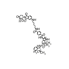 CN(C)C[C@@H](NC(=O)N1Cc2c(NC(=O)c3ccc(C(=O)NCCCCCNc4ccc5c(c4)C(=O)N(C4CCC(=O)NC4=O)C5=O)cc3)n[nH]c2C1(C)C)c1ccccc1